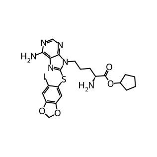 Nc1ncnc2c1nc(Sc1cc3c(cc1I)OCO3)n2CCC[C@H](N)C(=O)OC1CCCC1